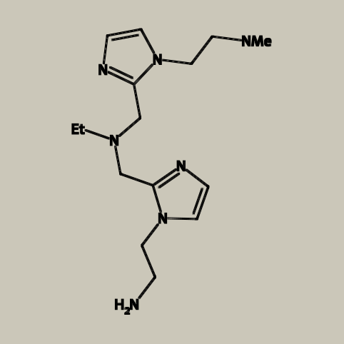 CCN(Cc1nccn1CCN)Cc1nccn1CCNC